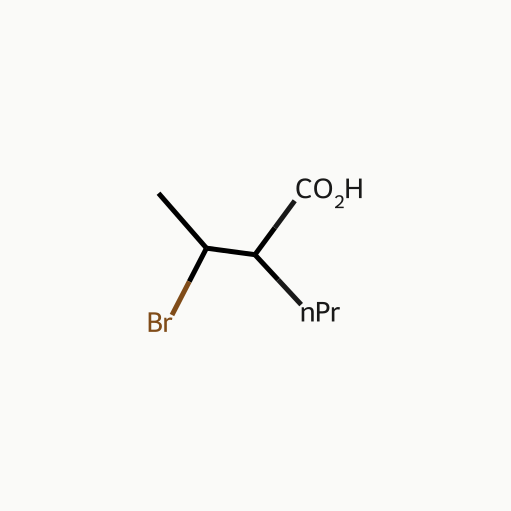 CCCC(C(=O)O)C(C)Br